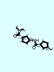 C[C@@H]1CC[C@H](C(=O)N[C@H]2CC[C@H](C(=O)N(C)C)C2)C1